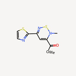 COC(=O)C1=CC(c2nccs2)=NSN1C